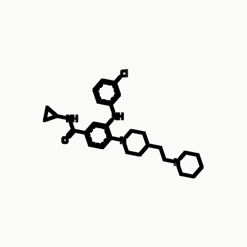 O=C(NC1CC1)c1ccc(N2CCC(CCN3CCCCC3)CC2)c(Nc2cccc(Cl)c2)c1